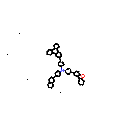 c1ccc2cc(-c3ccc(N(c4ccc(-c5ccc6oc7ccccc7c6c5)cc4)c4ccc(-c5ccc6c7ccccc7c7ccccc7c6c5)cc4)cc3)ccc2c1